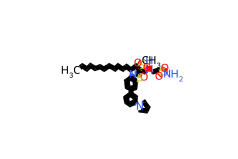 CCCCCCCCCCCCCCC(C(=O)NCCS(N)(=O)=O)(c1nc2ccc(-c3cccc(N4CCCC4)c3)cc2s1)S(C)(=O)=O